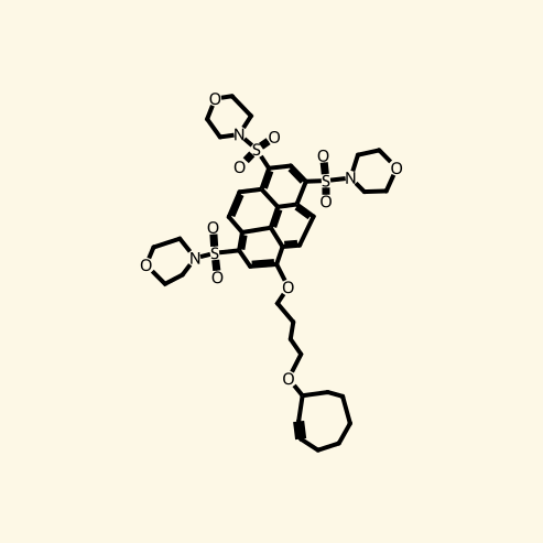 O=S(=O)(c1cc(OCCCCOC2C#CCCCCC2)c2ccc3c(S(=O)(=O)N4CCOCC4)cc(S(=O)(=O)N4CCOCC4)c4ccc1c2c34)N1CCOCC1